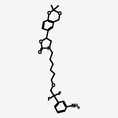 CC1(C)OCc2cc(C3CN(CCCCCCOCC(F)(F)c4cccc(N)c4)C(=O)O3)ccc2O1